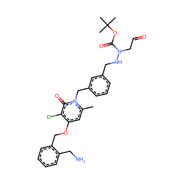 Cc1cc(OCc2ccccc2CN)c(Cl)c(=O)n1Cc1cccc(CNN(CC=O)C(=O)OC(C)(C)C)c1